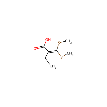 CCC(C(=O)O)=C(SC)SC